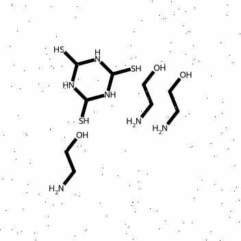 NCCO.NCCO.NCCO.SC1NC(S)NC(S)N1